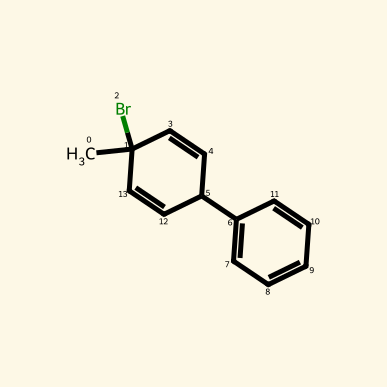 CC1(Br)C=CC(c2ccccc2)C=C1